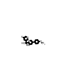 CC(C)(C)C(O)(c1cncc(F)c1)c1ccc(-c2ccc(OC(F)(F)F)cc2)cn1